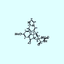 COc1ccc2c(c1)C(=O)N(C[C@@]1(C#Cc3ccc4nccn4c3)NC(=O)NC1=O)C2